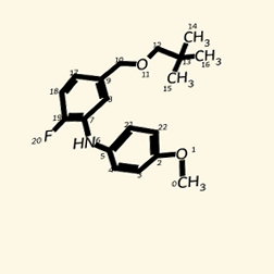 COc1ccc(Nc2cc(COCC(C)(C)C)ccc2F)cc1